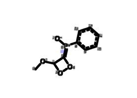 COC1OO/C1=[P+](/[O-])c1ccccc1